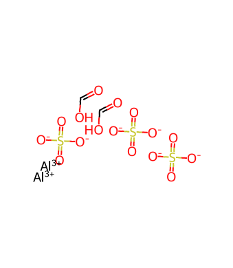 O=CO.O=CO.O=S(=O)([O-])[O-].O=S(=O)([O-])[O-].O=S(=O)([O-])[O-].[Al+3].[Al+3]